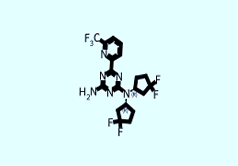 Nc1nc(-c2cccc(C(F)(F)F)n2)nc(N([C@@H]2CCC(F)(F)C2)[C@@H]2CCC(F)(F)C2)n1